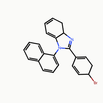 BrC1C=CC(C2=NC3CC=CC=C3N2c2cccc3ccccc23)=CC1